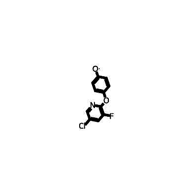 [O]c1ccc(Oc2ncc(Cl)cc2F)cc1